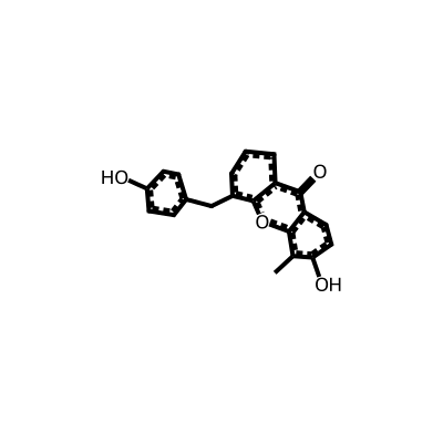 Cc1c(O)ccc2c(=O)c3cccc(Cc4ccc(O)cc4)c3oc12